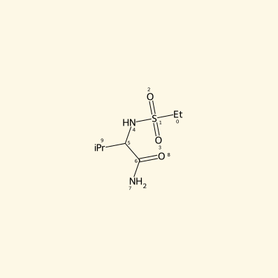 CCS(=O)(=O)NC(C(N)=O)C(C)C